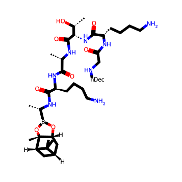 CCCCCCCCCCNCC(=O)N[C@@H](CCCCN)C(=O)N[C@H](C(=O)N[C@@H](C)C(=O)N[C@@H](CCCCN)C(=O)N[C@@H](C)B1O[C@@H]2C[C@@H]3C[C@@H](C3(C)C)[C@]2(C)O1)[C@@H](C)O